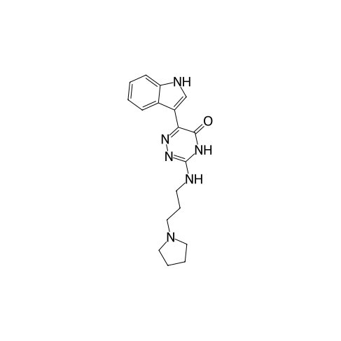 O=c1[nH]c(NCCCN2CCCC2)nnc1-c1c[nH]c2ccccc12